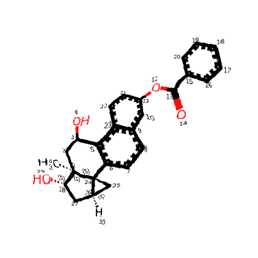 C[C@]12CC(O)c3c(ccc4cc(OC(=O)c5ccccc5)ccc34)[C@@]13C[C@H]3C[C@@H]2O